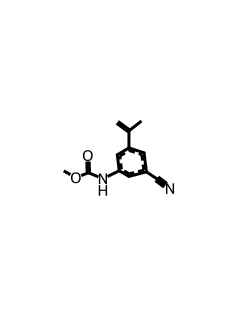 C=C(C)c1cc(C#N)cc(NC(=O)OC)c1